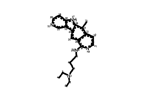 CCN(CC)CCCNc1nccc2c(C)c3[nH]c4ccncc4c3cc12